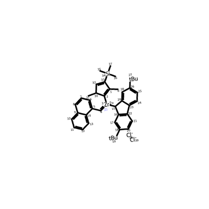 CC1=[C](/[Zr+2](=[CH]\c2cccc3ccccc23)[CH]2c3cc(C(C)(C)C)ccc3-c3ccc(C(C)(C)C)cc32)C(C)C=C1[Si](C)(C)C.[Cl-].[Cl-]